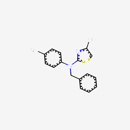 N#Cc1ccc(N(Cc2ccccc2)c2nc(C=O)cs2)cc1